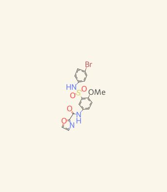 COc1ccc(NC(=O)c2ncco2)cc1S(=O)(=O)Nc1ccc(Br)cc1